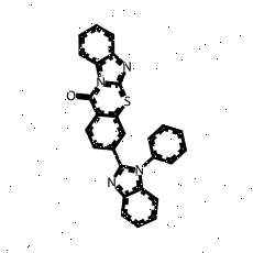 O=c1c2ccc(-c3nc4ccccc4n3-c3ccccc3)cc2sc2nc3ccccc3n12